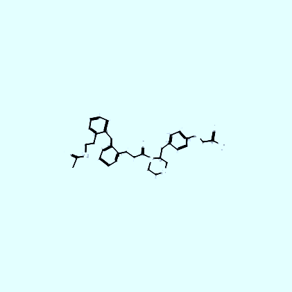 CC(=O)NCCc1ccccc1Cc1ccccc1CCC(=O)N1CCNCC1Cc1ccc(OCC(=O)O)cc1